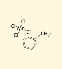 [CH2]c1ccccc1.[Cl][Mn]([Cl])([Cl])[Cl]